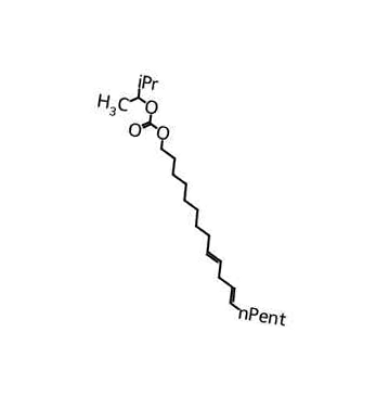 CCCCC/C=C/C/C=C/CCCCCCCCOC(=O)OC(C)C(C)C